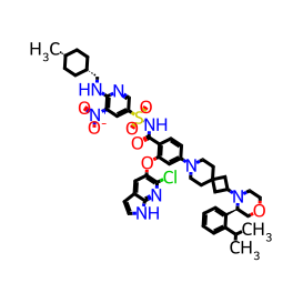 CC(C)c1ccccc1[C@@H]1COCCN1C1CC2(CCN(c3ccc(C(=O)NS(=O)(=O)c4cnc(NC[C@H]5CC[C@@H](C)CC5)c([N+](=O)[O-])c4)c(Oc4cc5cc[nH]c5nc4Cl)c3)CC2)C1